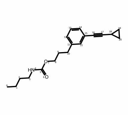 CCCCNC(=O)OCCCc1cccc(C#CC2CC2)c1